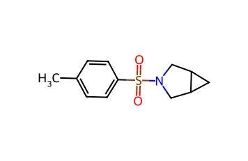 Cc1ccc(S(=O)(=O)N2CC3CC3C2)cc1